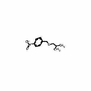 CC(C)COCc1ccc([N+](=O)[O-])cc1